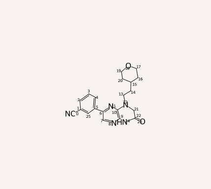 N#Cc1cccc(-c2cnc3c(n2)N(CCC2CCOCC2)CC(=O)N3)c1